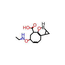 CCNOC1/C=C\CC2=C(OBC3CC23)C(C(=O)O)C1